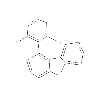 Clc1cccc(Br)c1-c1cccc2sc3ccccc3c12